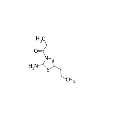 CCCC1=CN(C(=O)CC)C(N)S1